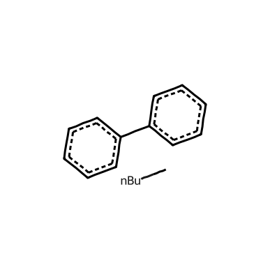 CCCCC.c1ccc(-c2ccccc2)cc1